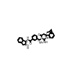 CCC[C@H](c1cccc(C(=O)N[C@@H]2c3ccccc3C[C@H]2O)c1)N1C(=N)N[C@](CC2CC2)(c2ccccc2)CC1=O